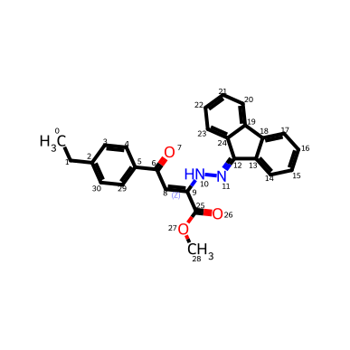 CCc1ccc(C(=O)/C=C(\NN=C2c3ccccc3-c3ccccc32)C(=O)OC)cc1